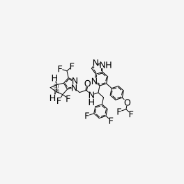 O=C(Cn1nc(C(F)F)c2c1C(F)(F)[C@@H]1C[C@H]21)NC(Cc1cc(F)cc(F)c1)c1nc2cn[nH]c2cc1-c1ccc(OC(F)F)cc1